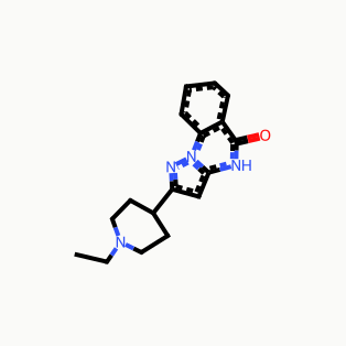 CCN1CCC(c2cc3[nH]c(=O)c4ccccc4n3n2)CC1